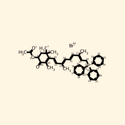 CC(=O)OC1CC(C)(C)C(C=CC(C)=CC=CC(C)=CC[P+](c2ccccc2)(c2ccccc2)c2ccccc2)=C(C)C1=O.[Br-]